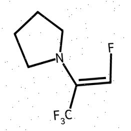 F/C=C(\N1CCCC1)C(F)(F)F